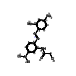 CCN(CC)c1ccc(/N=N/c2ccc([N+](=O)[O-])cc2C#N)c(NC(=O)CCl)c1